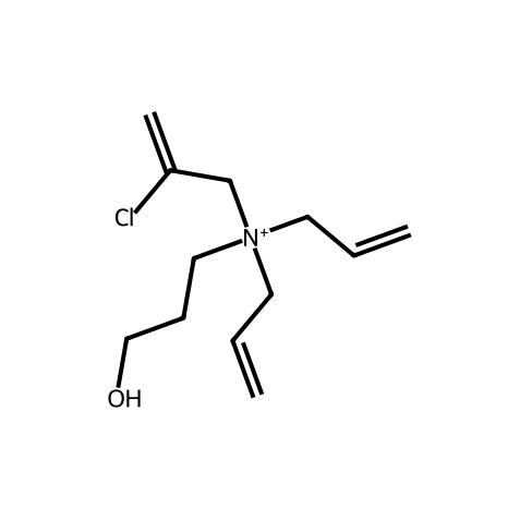 C=CC[N+](CC=C)(CCCO)CC(=C)Cl